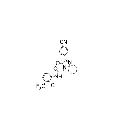 N#Cc1ccc(C2=NC3(CCCCC3)N(CC(=O)Nc3cccc(C(F)(F)F)c3Cl)C2=O)cc1